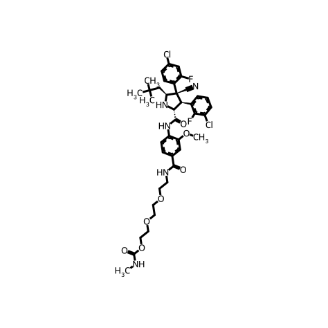 CNC(=O)OCCOCCOCCNC(=O)c1ccc(NC(=O)[C@@H]2N[C@@H](CC(C)(C)C)[C@](C#N)(c3ccc(Cl)cc3F)[C@H]2c2cccc(Cl)c2F)c(OC)c1